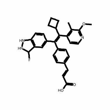 COc1nccc(/C(=C(\c2ccc(/C=C/C(=O)O)cc2)c2ccc3c(c2)C(F)NN3)C2CCC2)c1C